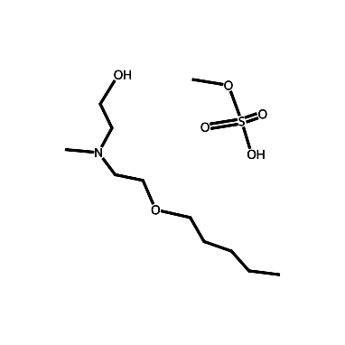 CCCCCOCCN(C)CCO.COS(=O)(=O)O